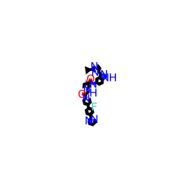 C[C@@]1(C(=O)Nc2ccc3[nH]nc(-c4ccnc(C5CC5)n4)c3c2)CCN(CC(=O)N2CC=C(c3ccc(-c4ncccn4)cc3F)CC2)C1